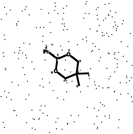 CC(C)P1OCC(C)(C)CO1